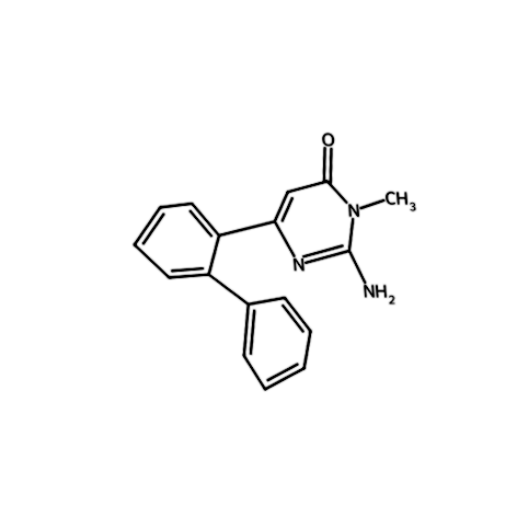 Cn1c(N)nc(-c2ccccc2-c2ccccc2)cc1=O